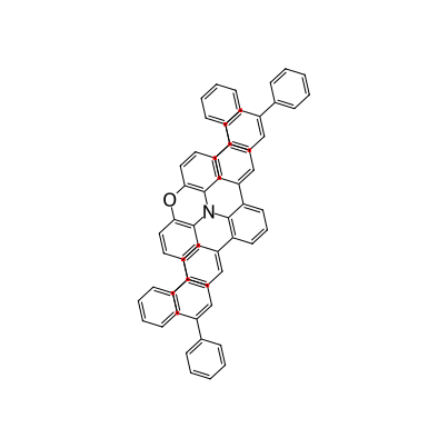 c1ccc(-c2ccc(-c3ccc4c(c3)N(c3c(-c5ccc(-c6ccccc6)cc5)cccc3-c3ccc(-c5ccccc5)cc3)c3cc(-c5ccc(-c6ccccc6)cc5)ccc3O4)cc2)cc1